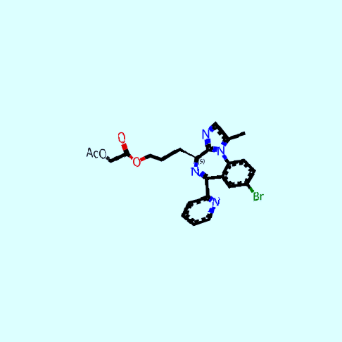 CC(=O)OCC(=O)OCCC[C@@H]1N=C(c2ccccn2)c2cc(Br)ccc2-n2c(C)cnc21